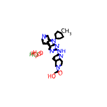 C[C@H]1CC[C@H](n2c3cnccc3c3cnc(Nc4ccc5c(n4)CCN(C(=O)CO)C5)nc32)CC1.Cl.O.O